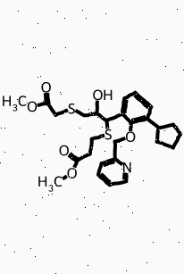 COC(=O)CCSC(c1cccc(C2CCCC2)c1OCc1ccccn1)C(O)CSCC(=O)OC